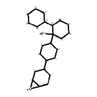 CCCC1(C2CCC(C3CCC4OC4C3)CC2)CCCCC1C1CCCCC1